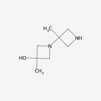 CC1(O)CN(C2(C)CNC2)C1